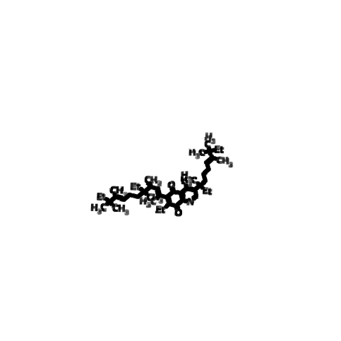 C=C(/C=C(\C)C1=C(CC)C(=O)c2ncc(C(C)(CC)CCC/C=C(\C)C(C)(C)CC)c(C)c2C1=O)C(C)(CC)CC/C=C(\C)C(C)(C)CC